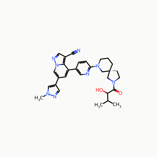 CC(C)C(O)C(=O)N1CC[C@]2(CCCN(c3ccc(-c4cc(-c5cnn(C)c5)cn5ncc(C#N)c45)cn3)C2)C1